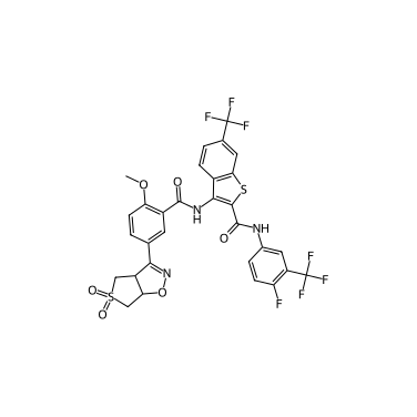 COc1ccc(C2=NOC3CS(=O)(=O)CC23)cc1C(=O)Nc1c(C(=O)Nc2ccc(F)c(C(F)(F)F)c2)sc2cc(C(F)(F)F)ccc12